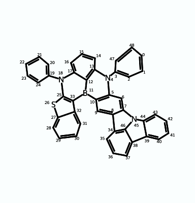 c1ccc(N2c3cc4c(cc3B3c5c2cccc5N(c2ccccc2)c2sc5ccccc5c23)c2cccc3c5ccccc5n4c32)cc1